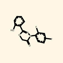 O=C1COC(c2ccccc2O)=NN1c1ccc(F)cc1F